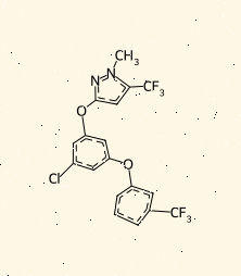 Cn1nc(Oc2cc(Cl)cc(Oc3cccc(C(F)(F)F)c3)c2)cc1C(F)(F)F